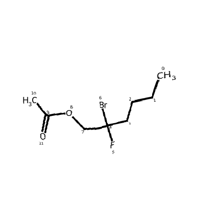 CCCCC(F)(Br)COC(C)=O